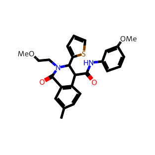 COCCN1C(=O)c2cc(C)ccc2C(C(=O)Nc2cccc(OC)c2)C1c1cccs1